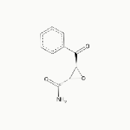 NC(=O)[C@H]1O[C@@H]1C(=O)c1ccccc1